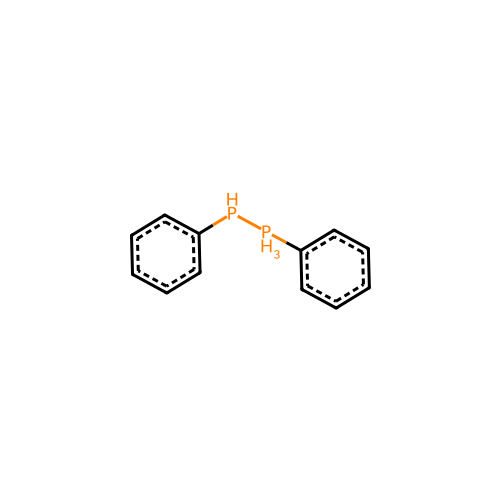 c1ccc(P[PH3]c2ccccc2)cc1